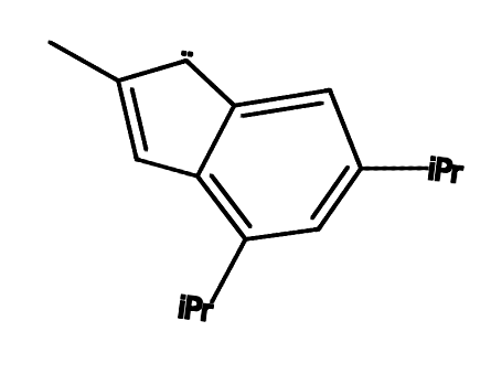 CC1=Cc2c(cc(C(C)C)cc2C(C)C)[C]1